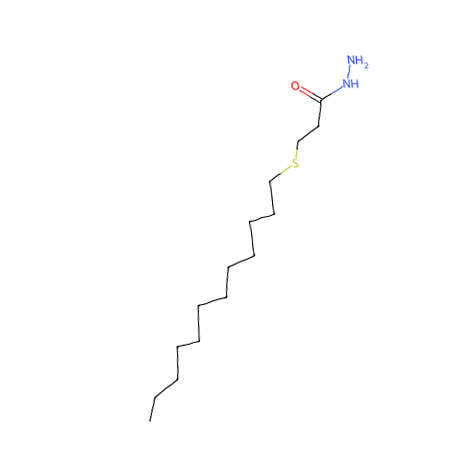 CCCCCCCCCCCCSCCC(=O)NN